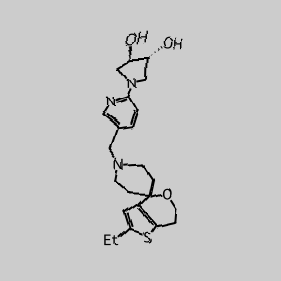 CCc1cc2c(s1)CCOC21CCN(Cc2ccc(N3C[C@@H](O)[C@H](O)C3)nc2)CC1